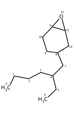 CCCCC(CC)CC1CCC2OC2C1